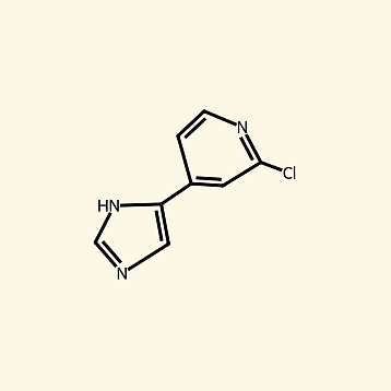 Clc1cc(-c2cnc[nH]2)ccn1